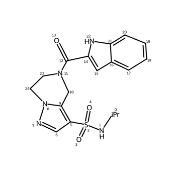 CC(C)NS(=O)(=O)c1cnn2c1CN(C(=O)c1cc3ccccc3[nH]1)CC2